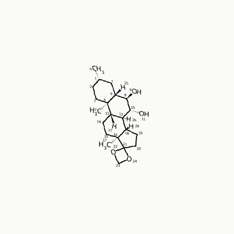 C[C@H]1CC[C@@]2(C)[C@H](C1)[C@@H](O)[C@H](O)[C@@H]1[C@@H]2CC[C@@]2(C)[C@H]1CCC21OCO1